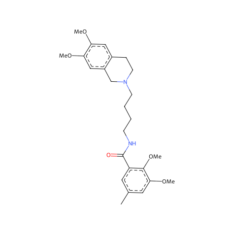 COc1cc2c(cc1OC)CN(CCCCNC(=O)c1cc(C)cc(OC)c1O[11CH3])CC2